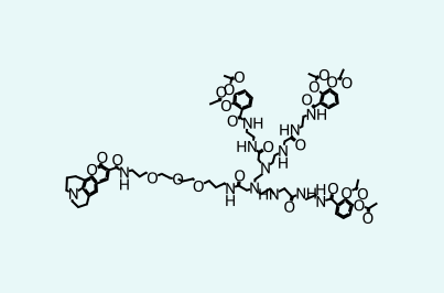 CC(=O)Oc1cccc(C(=O)NCCNC(=O)CNCCN(CCN(CCNCC(=O)NCCNC(=O)c2cccc(OC(C)=O)c2OC(C)=O)CC(=O)NCCNC(=O)c2cccc(OC(C)=O)c2OC(C)=O)CC(=O)NCCCOCCOCCOCCCNC(=O)c2cc3cc4c5c(c3oc2=O)CCCN5CCC4)c1OC(C)=O